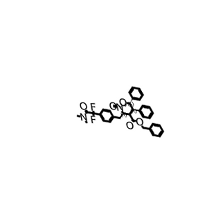 CN(C)C(=O)C(F)(F)c1ccc(C[C@@H]2C(C(=O)OCc3ccccc3)[C@H](c3ccccc3)[C@@H](c3ccccc3)O[N+]2=O)cc1